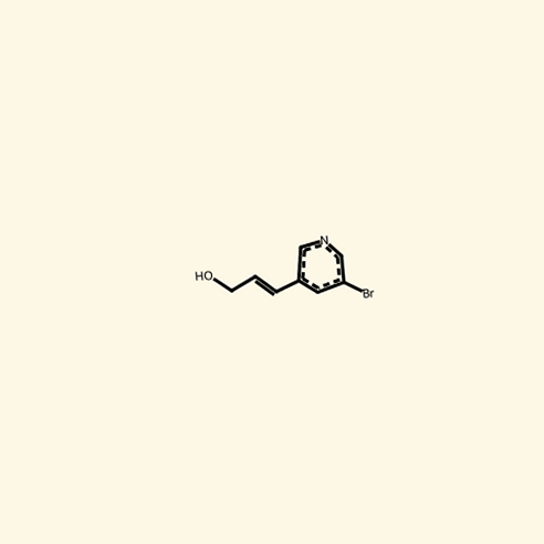 OCC=Cc1cncc(Br)c1